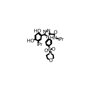 CC(C)NC(=O)c1nnc(-c2cc(C(C)C)c(O)cc2O)n1-c1ccc(S(=O)(=O)N2CCOCC2)cc1